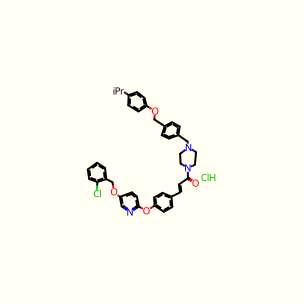 CC(C)c1ccc(OCc2ccc(CN3CCN(C(=O)C=Cc4ccc(Oc5ccc(OCc6ccccc6Cl)cn5)cc4)CC3)cc2)cc1.Cl